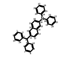 c1ccc(C(c2ccccc2)c2ccc3cc(N(c4ccccc4)c4ccccc4)ccc3c2)cc1